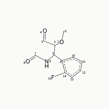 COC(C=O)C(NC=O)c1ccccc1F